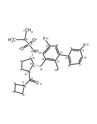 CN(C)S(=O)(=O)N[C@H]1CCN(C(=O)N2CCC2)[C@H]1Cc1cc(F)cc(-c2cccc(F)c2)c1F